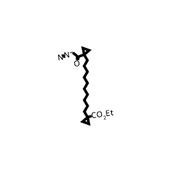 CCOC(=O)C1(CCCCCCCCCCC2(C(=O)C=[N+]=[N-])CC2)CC1